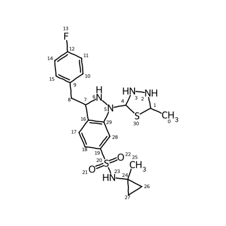 CC1NNC(N2NC(Cc3ccc(F)cc3)c3ccc(S(=O)(=O)NC4(C)CC4)cc32)S1